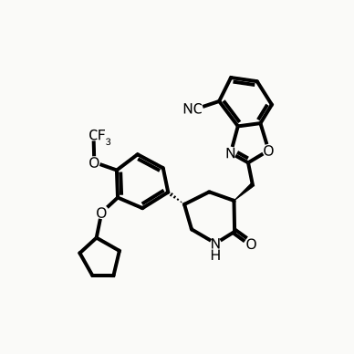 N#Cc1cccc2oc(C[C@@H]3C[C@@H](c4ccc(OC(F)(F)F)c(OC5CCCC5)c4)CNC3=O)nc12